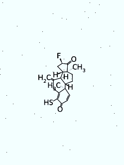 C=C1CC2=C(S)C(=O)C=C[C@]2(C)[C@H]2CC[C@]3(C)C(=O)[C@H](F)C[C@H]3[C@H]12